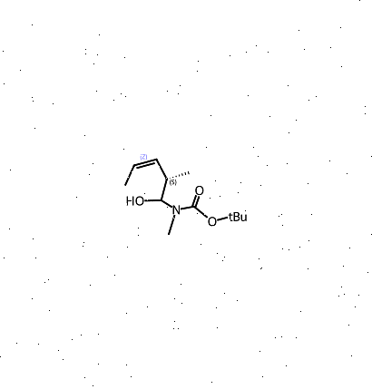 C/C=C\[C@H](C)C(O)N(C)C(=O)OC(C)(C)C